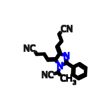 CC(C#N)n1c(-c2ccccc2)nc(=CCCC#N)c1=CCCC#N